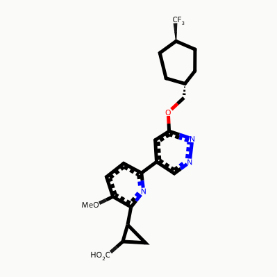 COc1ccc(-c2cnnc(OC[C@H]3CC[C@H](C(F)(F)F)CC3)c2)nc1C1CC1C(=O)O